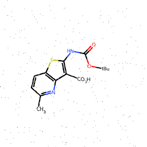 Cc1ccc2sc(NC(=O)OC(C)(C)C)c(C(=O)O)c2n1